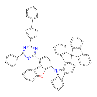 c1ccc(-c2ccc(-c3nc(-c4ccccc4)nc(-c4ccc(-n5c6ccccc6c6ccc7c(c65)-c5ccccc5C75c6ccccc6-c6ccccc65)c5oc6ccccc6c45)n3)cc2)cc1